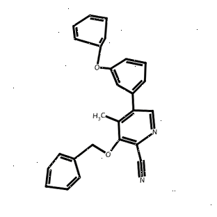 Cc1c(-c2cccc(Oc3ccccc3)c2)cnc(C#N)c1OCc1ccccc1